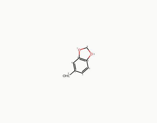 O=[C]c1ccc2c(c1)OCO2